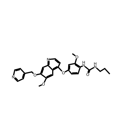 CCCNC(=O)Nc1ccc(Oc2ccnc3cc(OCc4ccncc4)c(OC)cc23)cc1OC